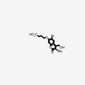 CC(C)(C)c1c(CO)c2cc(Br)c(OCCCC(=O)O)cc2oc1=O